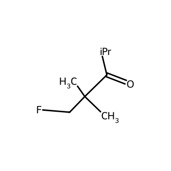 CC(C)C(=O)C(C)(C)CF